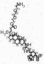 C[C@H](CCC(=O)OCCOCCOCCN)C1CCC2C3CCC4C[C@H](NC(=O)CNc5ccc([N+](=O)[O-])c6nonc56)CCC4(C)C3CCC21C